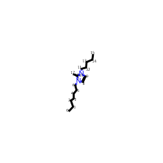 CCCCCCCN1C=CN(CCCCC)C1C